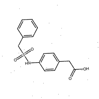 O=C(O)Cc1ccc(NS(=O)(=O)Cc2ccccc2)cc1